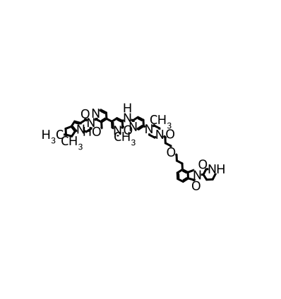 C[C@H]1CN(C(=O)CCOCCCc2cccc3c2CN(C2CCCNC2=O)C3=O)CCN1c1ccc(Nc2cc(-c3ccnc(N4CCn5c(cc6c5CC(C)(C)C6)C4=O)c3CO)cn(C)c2=O)nc1